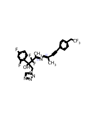 C/C(C#Cc1ccc(CC(F)(F)F)cc1)=C\N=C(/C)C(F)(F)C(O)(Cn1cnnn1)c1ccc(F)cc1F